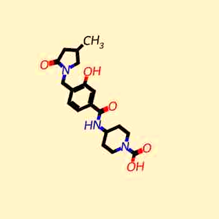 CC1CC(=O)N(Cc2ccc(C(=O)NC3CCN(C(=O)O)CC3)cc2O)C1